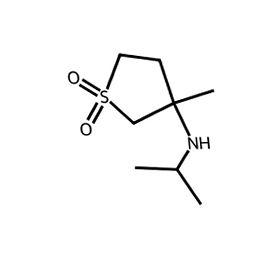 CC(C)NC1(C)CCS(=O)(=O)C1